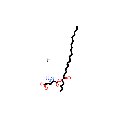 CCCCCCCCCCCCCCCCCC(=O)C(CCCC)OC(=O)[C@@H](N)CCC(=O)[O-].[K+]